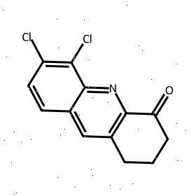 O=C1CCCc2cc3ccc(Cl)c(Cl)c3nc21